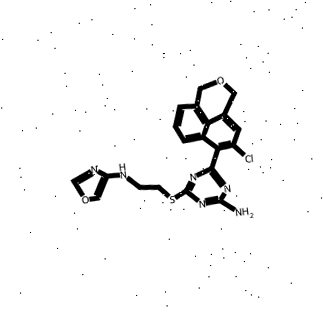 Nc1nc(SCCNc2cocn2)nc(-c2c(Cl)cc3c4c(cccc24)COC3)n1